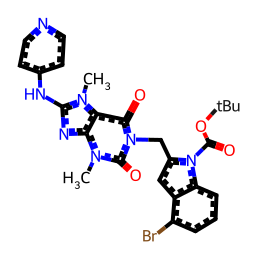 Cn1c(Nc2ccncc2)nc2c1c(=O)n(Cc1cc3c(Br)cccc3n1C(=O)OC(C)(C)C)c(=O)n2C